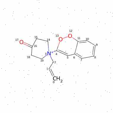 C=CC[N+]1(C2=Cc3ccccc3OO2)CCC(=O)CC1